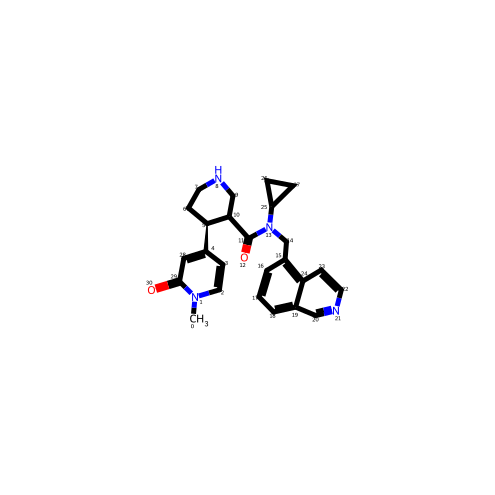 Cn1ccc([C@H]2CCNCC2C(=O)N(Cc2cccc3cnccc23)C2CC2)cc1=O